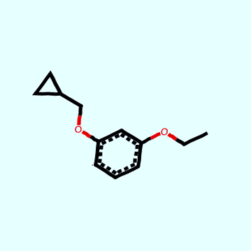 CCOc1cc[c]c(OCC2CC2)c1